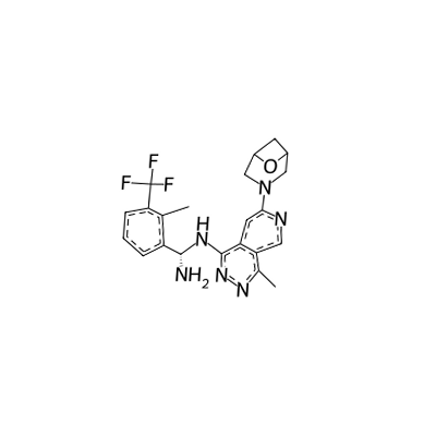 Cc1c([C@@H](N)Nc2nnc(C)c3cnc(N4CC5CC(C4)O5)cc23)cccc1C(F)(F)F